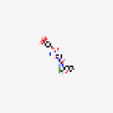 O=C(Cn1cccc(NC(=O)OCc2ccc(C(=O)O)cc2)c1=O)NC(Cc1ccccc1)C(=O)C(F)(F)F